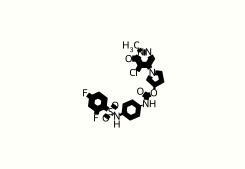 Cn1ncc(N2CC[C@@H](OC(=O)N[C@H]3CC[C@H](NS(=O)(=O)c4ccc(F)cc4F)CC3)C2)c(Cl)c1=O